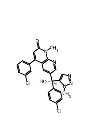 Cn1nncc1[C@@](O)(c1ccc(Cl)cc1)c1cnc2c(c1)c(-c1cccc(Cl)c1)cc(=O)n2C